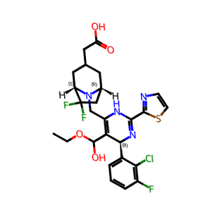 CCOC(O)C1=C(CN2[C@@H]3CC(CC(=O)O)C[C@H]2C(F)(F)C3)NC(c2nccs2)=N[C@H]1c1cccc(F)c1Cl